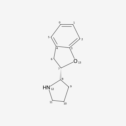 c1ccc2c(c1)C[C@@H](C1CCCN1)O2